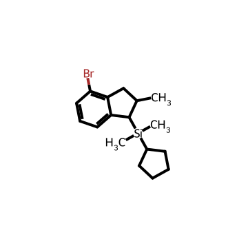 CC1Cc2c(Br)cccc2C1[Si](C)(C)C1CCCC1